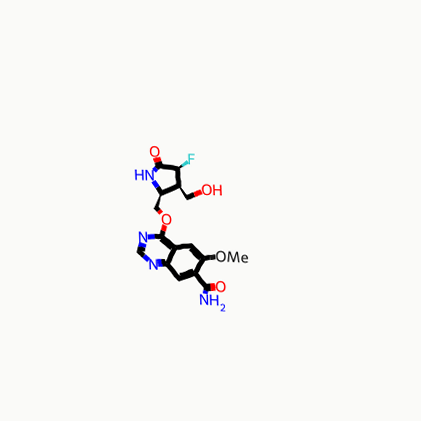 COc1cc2c(OC[C@H]3NC(=O)[C@@H](F)[C@H]3CO)ncnc2cc1C(N)=O